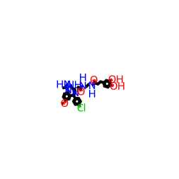 COc1ccc2c(c1)C(c1ccc(Cl)cc1)=N[C@@H](CC(=O)NCCNC(=O)CCc1ccc(O)c(O)c1)C1NNC(C)N21